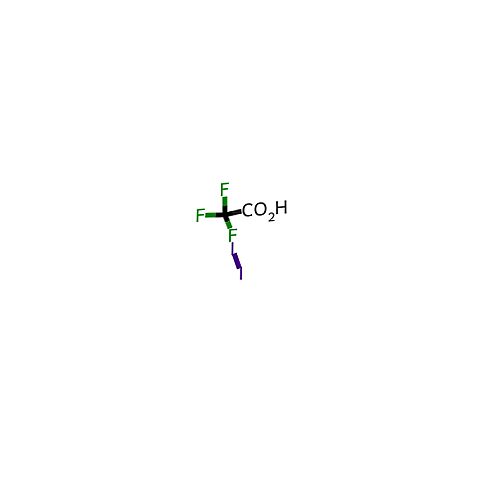 II.O=C(O)C(F)(F)F